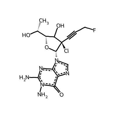 C[C@@H](O)[C@H]1O[C@@H](n2cnc3c(=O)n(N)c(N)nc32)[C@@](Cl)(C#CCF)C1O